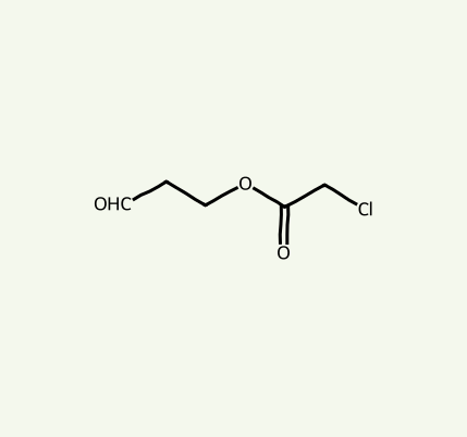 O=CCCOC(=O)CCl